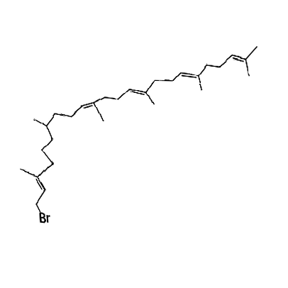 CC(C)=CCC/C(C)=C/CC/C(C)=C/CC/C(C)=C/CCC(C)CCC/C(C)=C/CBr